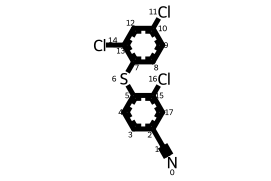 N#Cc1ccc(Sc2ccc(Cl)cc2Cl)c(Cl)c1